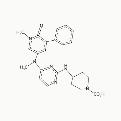 CN(c1cc(-c2ccccc2)c(=O)n(C)c1)c1ccnc(NC2CCN(C(=O)O)CC2)n1